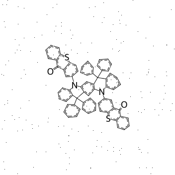 O=c1c2ccccc2sc2ccc(N3c4ccccc4C(c4ccccc4)(c4ccccc4)c4cc5c(cc43)C(c3ccccc3)(c3ccccc3)c3ccccc3N5c3ccc4sc5ccccc5c(=O)c4c3)cc12